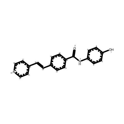 O=C(Nc1ccc(O)cc1)c1ccc(C=Cc2ccncc2)cc1